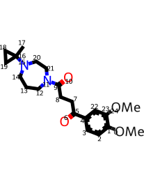 COc1ccc(C(=O)CCC(=O)N2CCCN(C3(C)CC3)CC2)cc1OC